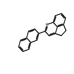 c1ccc2cc(-c3cc4c5c(cccc5n3)CC4)ccc2c1